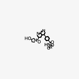 CS(=O)(=O)NC(=O)c1ccc(-c2cncc3ncc(C(=O)N4CCC(O)C4)cc23)cc1